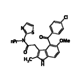 CCCN(C(=O)Cc1c(C)[nH]c2ccc(OC)c(C(=O)c3ccc(Cl)cc3)c12)c1nccs1